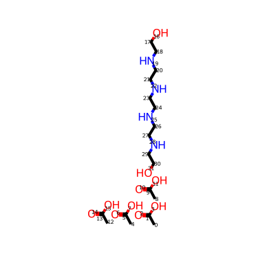 CC(=O)O.CC(=O)O.CC(=O)O.CC(=O)O.OCCNCCNCCNCCNCCO